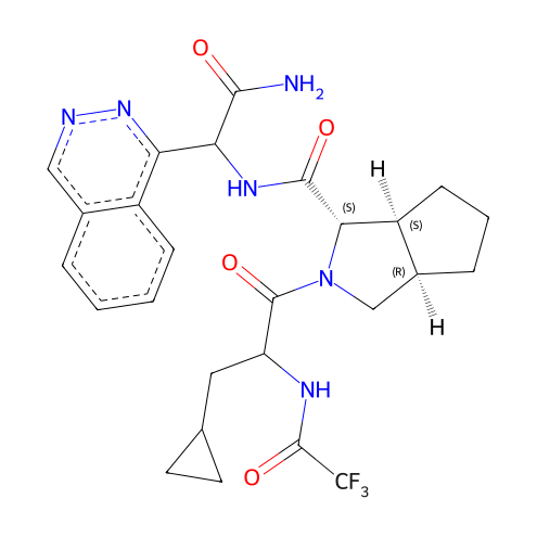 NC(=O)C(NC(=O)[C@@H]1[C@H]2CCC[C@H]2CN1C(=O)C(CC1CC1)NC(=O)C(F)(F)F)c1nncc2ccccc12